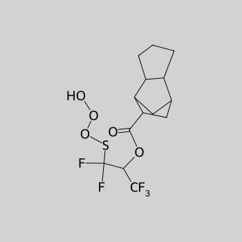 O=C(OC(C(F)(F)F)C(F)(F)SOOO)C1CC2CC1C1CCCC21